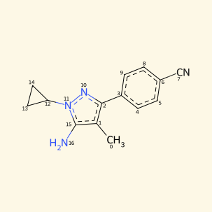 Cc1c(-c2ccc(C#N)cc2)nn(C2CC2)c1N